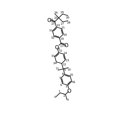 CCC(C)Oc1ccc(C(C)(C)C2C=CC(OC(=O)c3ccc(C(=O)C(C)(CC)CC)cc3)=CC2)cc1